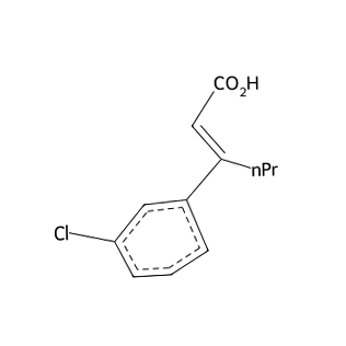 CCCC(=CC(=O)O)c1cccc(Cl)c1